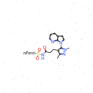 CCCCCS(=O)(=O)NC(=O)CCc1c(C)nn(C)c1-n1ccc2cccnc21